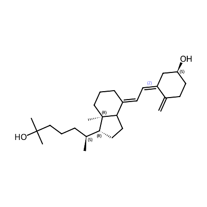 C=C1CC[C@H](O)C/C1=C/C=C1CCC[C@@]2(C)C1CC[C@@H]2[C@@H](C)CCCC(C)(C)O